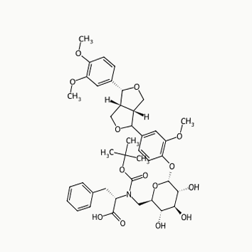 COc1ccc([C@@H]2OC[C@@H]3C(c4ccc(O[C@H]5O[C@H](CN(C(=O)OC(C)(C)C)[C@@H](Cc6ccccc6)C(=O)O)[C@@H](O)[C@H](O)[C@H]5O)c(OC)c4)OC[C@@H]32)cc1OC